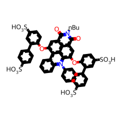 CCCCn1c(=O)c2cc(Oc3ccc(S(=O)(=O)O)cc3-c3ccc(S(=O)(=O)O)cc3)c3c4ccccc4n(-c4ccccc4)c4c(Oc5ccc(S(=O)(=O)O)cc5-c5ccc(S(=O)(=O)O)cc5)cc(c1=O)c2c34